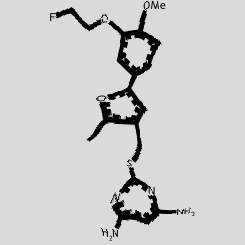 COc1ccc(-c2cc(CSc3nc(N)cc(N)n3)c(C)o2)cc1OCCF